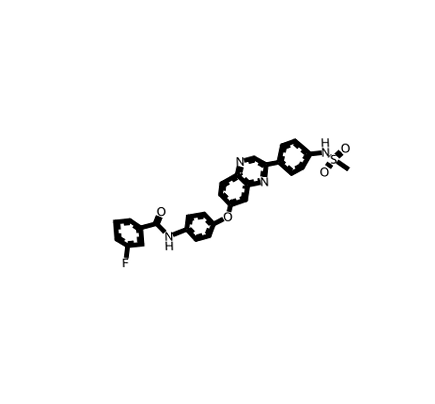 CS(=O)(=O)Nc1ccc(-c2cnc3ccc(Oc4ccc(NC(=O)c5cccc(F)c5)cc4)cc3n2)cc1